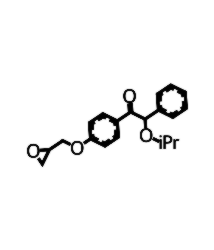 CC(C)OC(C(=O)c1ccc(OCC2CO2)cc1)c1ccccc1